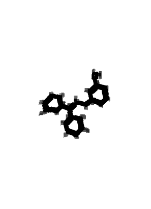 Oc1cccc(CN=C(c2ccccc2)c2ccccc2)c1